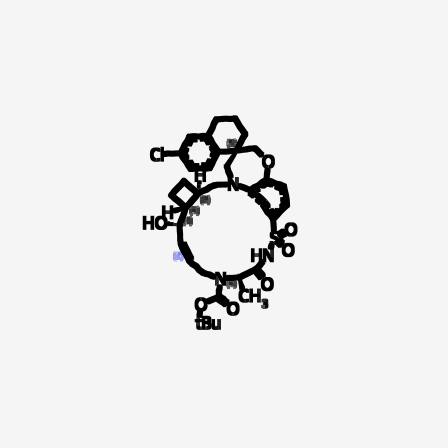 C[C@@H]1C(=O)NS(=O)(=O)c2ccc3c(c2)N(C[C@@H]2CC[C@H]2[C@@H](O)/C=C\CN1C(=O)OC(C)(C)C)C[C@@]1(CCCc2cc(Cl)ccc21)CO3